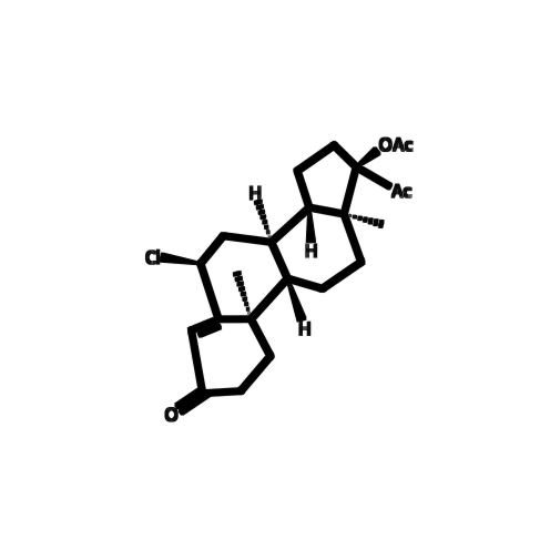 CC(=O)O[C@]1(C(C)=O)CC[C@H]2[C@@H]3C[C@H](Cl)C4=CC(=O)CC[C@]4(C)[C@H]3CC[C@@]21C